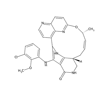 COc1c(Cl)cccc1Nc1c2[nH]c3c1C(=O)NC[C@H]3C/C=C\[C@@H](C)Oc1ccc3nccc-2c3n1